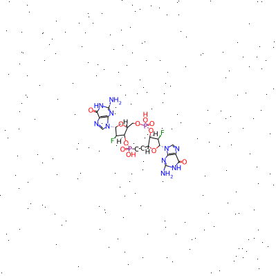 Nc1nc2c(ncn2[C@@H]2O[C@@H]3COP(=O)(O)O[C@H]4[C@@H](F)[C@H](n5cnc6c(=O)[nH]c(N)nc65)O[C@@H]4CCP(=O)(O)O[C@H]3[C@H]2F)c(=O)[nH]1